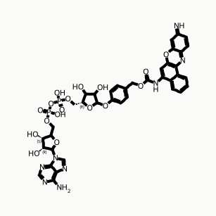 N=c1ccc2nc3c(cc(NC(=O)OCc4ccc(OC5O[C@H](COP(=O)(O)OP(=O)(O)OCC6OC(n7cnc8c(N)ncnc87)[C@H](O)[C@@H]6O)C(O)C5O)cc4)c4ccccc43)oc-2c1